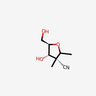 CC1O[C@H](CO)[C@@H](O)[C@@]1(C)C#N